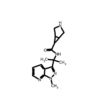 Cn1nc(C(C)(C)NC(=O)C2C3CNCC32)c2cccnc21